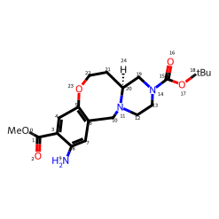 COC(=O)c1cc2c(cc1N)CN1CCN(C(=O)OC(C)(C)C)C[C@@H]1CCO2